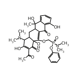 CC(=O)C1=C(O)C(N(C)C)C2CC3C(=C(OCP(=O)(Oc4ccccc4)N(C)C)C2(O)C1=O)C(=O)c1c(O)cccc1C3(C)O